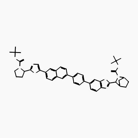 CC(C)(C)OC(=O)N1CCCC1c1ncc(-c2ccc3cc(-c4ccc(-c5ccc6nc(C7C8CCC(C8)N7C(=O)OC(C)(C)C)[nH]c6c5)cc4)ccc3c2)[nH]1